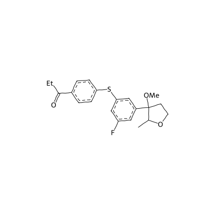 CCC(=O)c1ccc(Sc2cc(F)cc(C3(OC)CCOC3C)c2)cc1